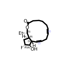 CC[C@@H]1OC(=O)CCCC/C=C\C/C=C\[C@@H]2[C@@H](O)[C@H](I)C[C@H]21